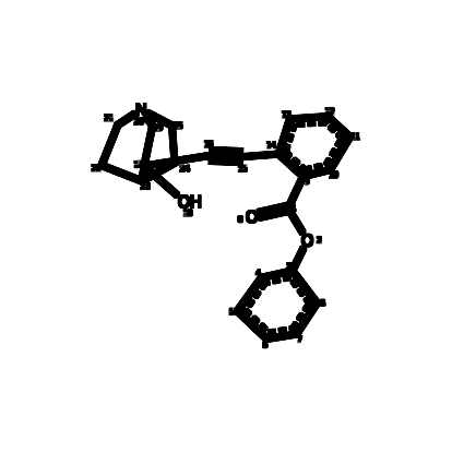 O=C(Oc1ccccc1)c1ccccc1C#CC1(O)CN2CCC1CC2